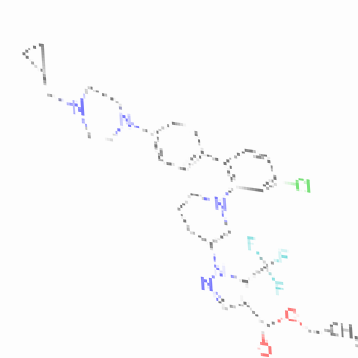 CCOC(=O)c1cnn(C2CCCN(c3cc(Cl)ccc3-c3ccc(N4CCN(CC5CC5)CC4)cc3)C2)c1C(F)(F)F